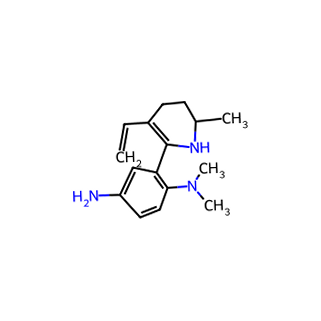 C=CC1=C(c2cc(N)ccc2N(C)C)NC(C)CC1